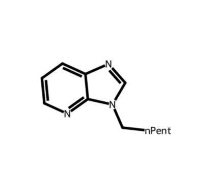 CCCCCCn1cnc2cccnc21